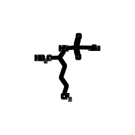 CCCCS(=O)(=O)NC(CCCC(F)(F)F)C(=O)O